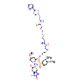 CCCOc1cc(OCCCCN(C)CC(=O)NCCCCCCCC(=O)NCCN2CCN(c3ccccn3)CC2)cc(Oc2cc3c(cc2NS(=O)(=O)c2ccc(OC)c(OC)c2)n(C)c(=O)n3C)c1